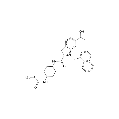 CC(O)c1ccc2cc(C(=O)NC3CCC(NC(=O)OC(C)(C)C)CC3)n(Cc3cccc4ccccc34)c2c1